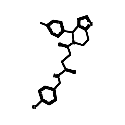 Cc1ccc(C2c3ccsc3CCN2C(=O)CCC(=O)NCc2ccc(Cl)cc2)cc1